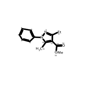 CCc1nn(-c2ccccc2)c(C)c1C(=O)OC